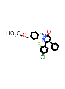 O=C(O)COC[C@H]1CC[C@H](Cn2nc(-c3ccc(Cl)cc3F)c(-c3ccccc3)cc2=O)CC1